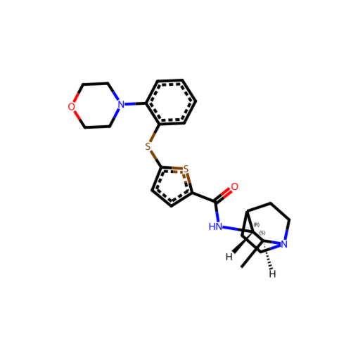 C[C@H]1[C@H](NC(=O)c2ccc(Sc3ccccc3N3CCOCC3)s2)C2CCN1CC2